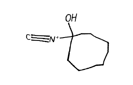 [C-]#[N+]C1(O)CCCCC1